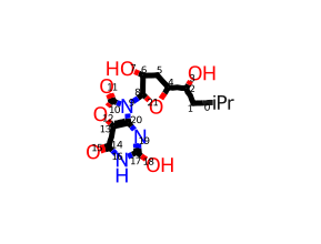 CC(C)CC(O)C1CC(O)C(n2c(=O)oc3c(=O)[nH]c(O)nc32)O1